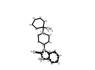 CC1(N2CCC(n3c(=O)[nH]c4ccccc43)CC2)CCCCC1